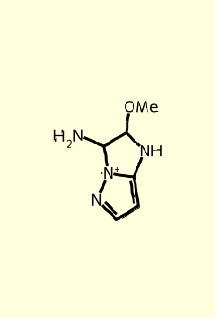 COC1NC2=CC=N[N+]2C1N